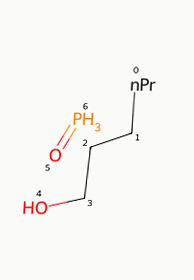 CCCCCCO.O=[PH3]